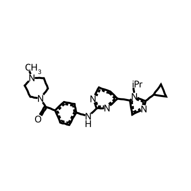 CC(C)n1c(-c2ccnc(Nc3ccc(C(=O)N4CCN(C)CC4)cc3)n2)cnc1C1CC1